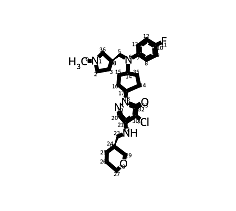 CN1CC[C@H](CN(c2ccc(F)cc2)C2CCC(n3ncc(NC[C@@H]4CCCOC4)c(Cl)c3=O)CC2)C1